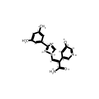 Cc1cc(C)cc(-c2ncn(/C=C(/C(N)=O)c3cncc(Cl)c3)n2)c1